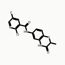 CC1Sc2ccc(NC(=O)c3cc(F)cnc3Cl)cc2NC1=O